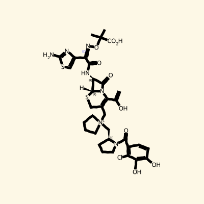 C=C(O)C1=C(C[N+]2(C[C@@H]3CCCN3C(=O)c3ccc(O)c(O)c3Cl)CCCC2)CS[C@@H]2[C@H](NC(=O)/C(=N\OC(C)(C)C(=O)O)c3csc(N)n3)C(=O)N12